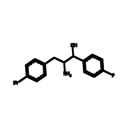 CC(C)c1ccc(CC(N)C(O)c2ccc(F)cc2)cc1